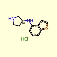 Cl.c1cc(N[C@H]2CCNC2)c2ccsc2c1